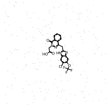 O=C(O)Cn1nc(Cc2nc3cc(OC(F)(F)F)c(Cl)cc3[nH]2)c2ccccc2c1=O